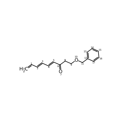 C=CC=CC=CC(=O)CCOCc1ccccc1